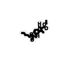 CCCCCS(=O)(=O)Nc1ccc2[nH]c(C(=O)OCC)c(C)c2c1